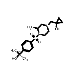 CC1CN(CC2(C#N)CC2)CCN1S(=O)(=O)c1ccc([C@](C)(O)C(F)(F)F)cc1